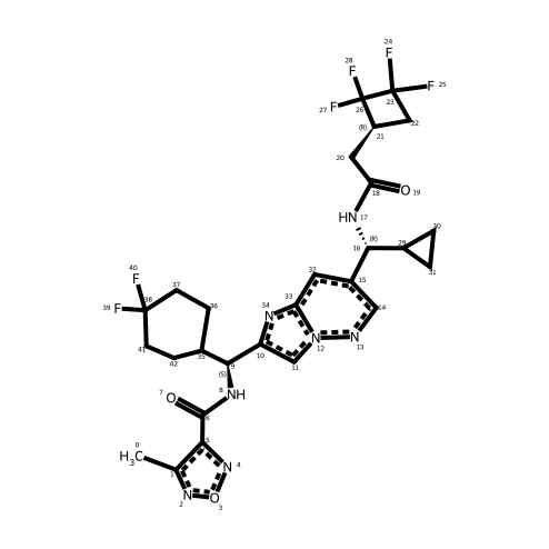 Cc1nonc1C(=O)N[C@H](c1cn2ncc([C@H](NC(=O)C[C@@H]3CC(F)(F)C3(F)F)C3CC3)cc2n1)C1CCC(F)(F)CC1